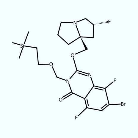 C[Si](C)(C)CCOCn1c(OC[C@@]23CCCN2C[C@H](F)C3)nc2c(F)c(Br)cc(F)c2c1=O